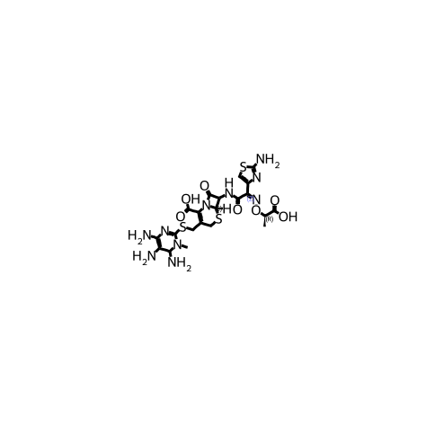 C[C@@H](O/N=C(\C(=O)NC1C(=O)N2C(C(=O)O)=C(CSC3=NC(N)=C(N)C(N)N3C)CS[C@@H]12)c1csc(N)n1)C(=O)O